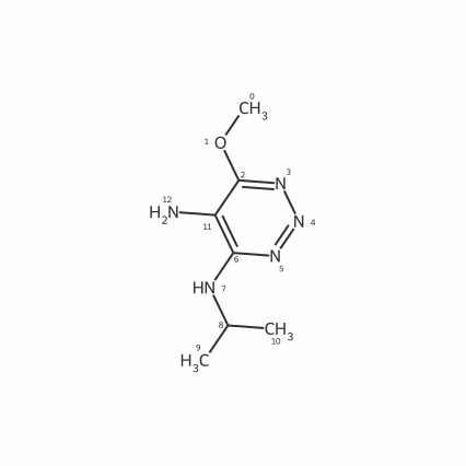 COc1nnnc(NC(C)C)c1N